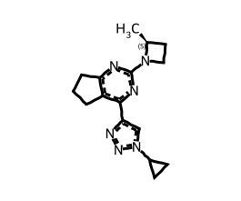 C[C@H]1CCN1c1nc2c(c(-c3cn(C4CC4)nn3)n1)CCC2